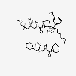 CN[C@H](CNC(=O)N1CCCCC1)CC1CCCCC1.COCCCC[C@@](O)(c1cccc(Cl)c1)[C@@H]1CCCN(C(=O)NC[C@@H](N)CC(C)(C)COC)C1